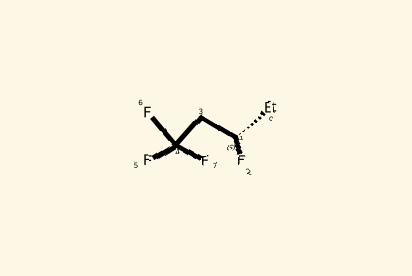 [CH2]C[C@H](F)CC(F)(F)F